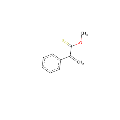 C=C(C(=S)OC)c1ccccc1